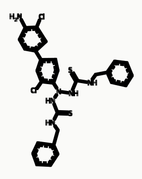 Nc1ccc(-c2ccc(N(NC(=S)NCc3ccccc3)NC(=S)NCc3ccccc3)c(Cl)c2)cc1Cl